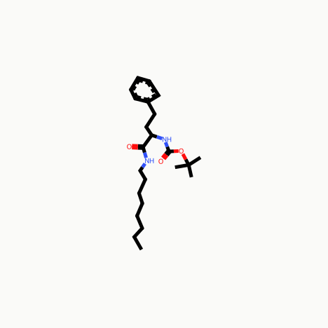 CCCCCCCCNC(=O)C(CCc1ccccc1)NC(=O)OC(C)(C)C